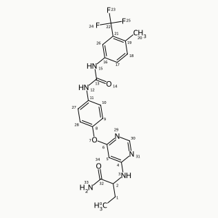 CCC(Nc1cc(Oc2ccc(NC(=O)Nc3ccc(C)c(C(F)(F)F)c3)cc2)ncn1)C(N)=O